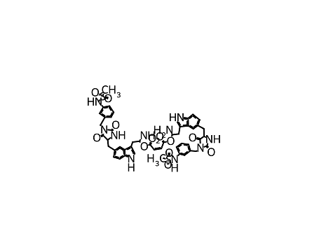 CS(=O)(=O)Nc1cccc(CN2C(=O)NC(Cc3ccc4[nH]cc(CC(N)OC(=O)/C=C\C(=O)OC(N)Cc5c[nH]c6ccc(CC7NC(=O)N(Cc8cccc(NS(C)(=O)=O)c8)C7=O)cc56)c4c3)C2=O)c1